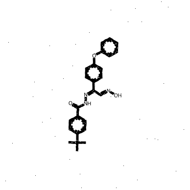 CC(C)(C)c1ccc(C(=O)N/N=C(\C=N\O)c2ccc(Oc3ccccc3)cc2)cc1